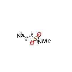 CNS(=O)(=O)C[CH2][Na]